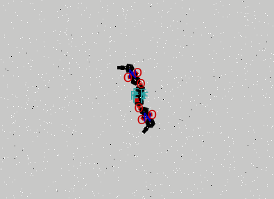 CC#Cc1cccc(N2C(=O)c3ccc(Oc4ccc(C(c5ccc(Oc6ccc7c(c6)C(=O)N(c6cccc(C#CC)c6)C7=O)cc5)(C(F)(F)F)C(F)(F)F)cc4)cc3C2=O)c1